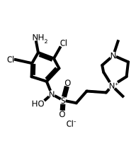 CN1CC[N+](C)(CCCS(=O)(=O)N(O)c2cc(Cl)c(N)c(Cl)c2)CC1.[Cl-]